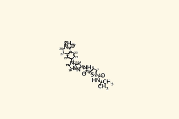 CC(C)NC(=O)c1ccc(C(=O)Nc2cc3n(n2)CCN3c2ccc3c(c2)CCN(C)C3=O)s1